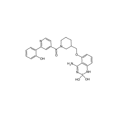 NC1=NS(O)(O)Nc2cccc(OCC3CCCN(C(=O)c4ccnc(-c5ccccc5O)c4)C3)c21